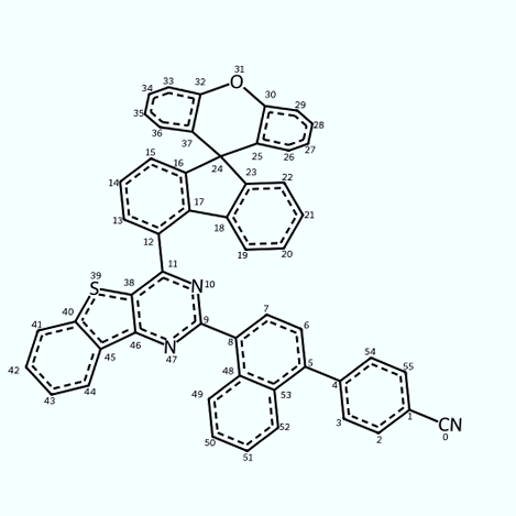 N#Cc1ccc(-c2ccc(-c3nc(-c4cccc5c4-c4ccccc4C54c5ccccc5Oc5ccccc54)c4sc5ccccc5c4n3)c3ccccc23)cc1